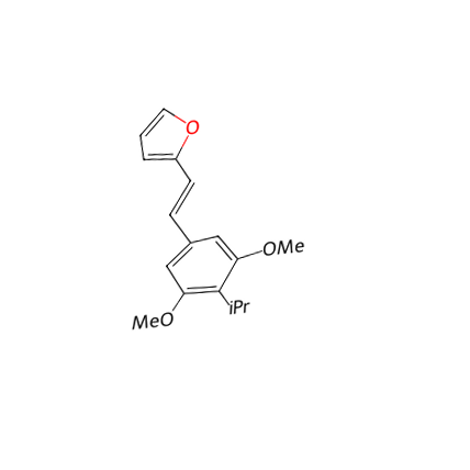 COc1cc(/C=C/c2ccco2)cc(OC)c1C(C)C